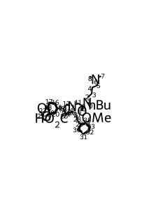 CCCCN(CCCCN(C)C)C(=O)CN1C[C@H](c2ccc3c(c2)OCO3)[C@H](C(=O)O)[C@H]1CCc1ccccc1OC